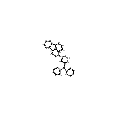 c1ccc(N(c2ccccc2)c2cccc(-c3ccc4c5c(cccc35)-c3ccccc3-4)c2)cc1